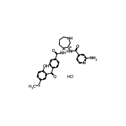 CSc1ccc(O)c(C(=O)c2ccc(C(=O)N[C@@H]3CCCNC[C@H]3NC(=O)c3ccnc(N)c3)cc2)c1.Cl